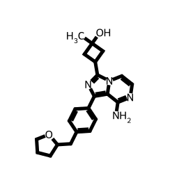 CC1(O)CC(c2nc(-c3ccc(CC4CCCO4)cc3)c3c(N)nccn23)C1